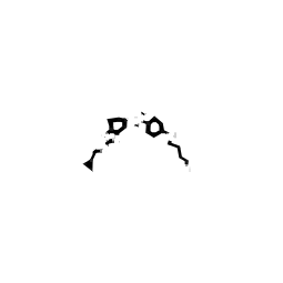 O=C(Nc1nc2cc(OS(=O)(=O)c3ccc(NCCCCO)cc3)ccc2[nH]1)C1CC1